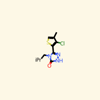 Cc1csc(-c2n[nH]c(=O)n2CC(C)C)c1Cl